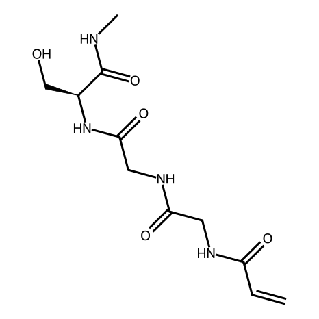 C=CC(=O)NCC(=O)NCC(=O)N[C@@H](CO)C(=O)NC